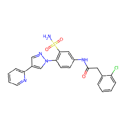 NS(=O)(=O)c1cc(NC(=O)Cc2ccccc2Cl)ccc1-n1cc(-c2ccccn2)cn1